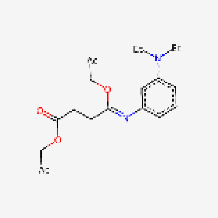 CCN(CC)c1cccc(N=C(CCC(=O)OCC(C)=O)OCC(C)=O)c1